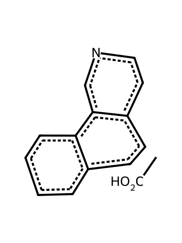 CC(=O)O.c1ccc2c(c1)ccc1ccncc12